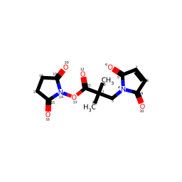 CC(C)(CN1C(=O)C=CC1=O)C(=O)ON1C(=O)CCC1=O